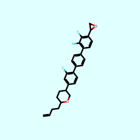 C=CCCC1CCC(c2ccc(-c3ccc(-c4ccc(C5CO5)c(F)c4F)cc3)c(F)c2)CO1